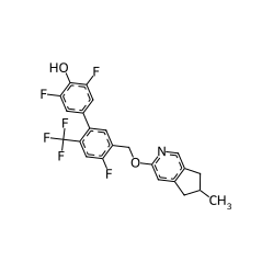 CC1Cc2cnc(OCc3cc(-c4cc(F)c(O)c(F)c4)c(C(F)(F)F)cc3F)cc2C1